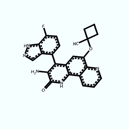 N#CC1(Oc2cc3c(-c4ccc(F)c5[nH]ncc45)c(N)c(=O)[nH]c3c3cccnc23)CCC1